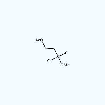 CO[Si](Cl)(Cl)CCOC(C)=O